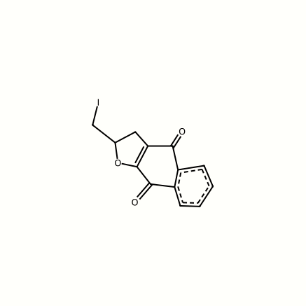 O=C1C2=C(OC(CI)C2)C(=O)c2ccccc21